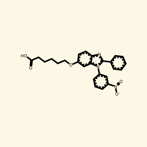 O=C(O)CCCCCOc1ccc2nc(-c3ccccc3)n(-c3cccc([N+](=O)[O-])c3)c2c1